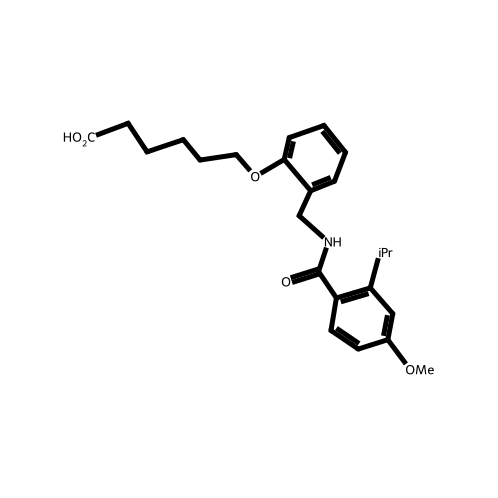 COc1ccc(C(=O)NCc2ccccc2OCCCCCC(=O)O)c(C(C)C)c1